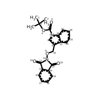 CC(C)(C)OC(=O)n1cc(CON2C(=O)c3ccccc3C2=O)c2ccccc21